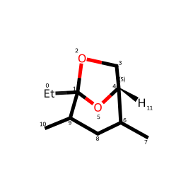 CCC12OC[C@@H](O1)C(C)CC2C